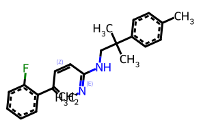 C=C(/C=C\C(=N/C)NCC(C)(C)c1ccc(C)cc1)c1ccccc1F